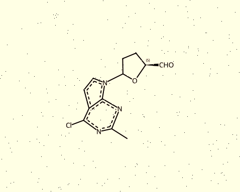 Cc1nc(Cl)c2ccn(C3CC[C@@H](C=O)O3)c2n1